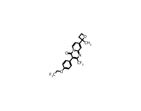 CC1(c2ccn3c(=O)c(-c4ccc(OCC(F)(F)F)cc4)c(C(F)(F)F)nc3c2)CCO1